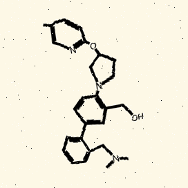 Cc1ccc(OC2CCN(c3ccc(-c4ccccc4CN(C)C)cc3CO)C2)nc1